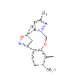 Cc1c(C(=O)O)ccc2c1OCn1nc(C(F)(F)F)cc1C1(C(F)(F)F)CC2=NO1